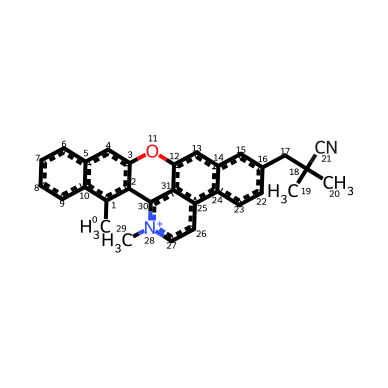 Cc1c2c(cc3ccccc13)Oc1cc3cc(CC(C)(C)C#N)ccc3c3cc[n+](C)c-2c13